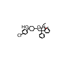 CCN(CC)C(=O)C(CCC1CCC(O)(c2ccc(Cl)cc2)CC1)(c1ccccc1)c1ccccc1